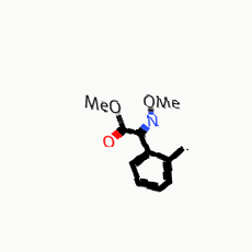 [CH2]c1ccccc1C(=NOC)C(=O)OC